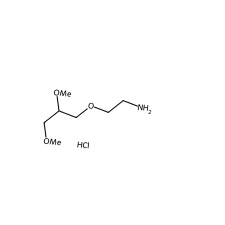 COCC(COCCN)OC.Cl